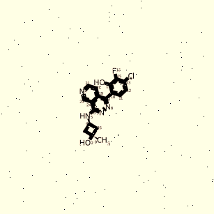 C[C@]1(O)C[C@@H](Nc2nnc(-c3ccc(Cl)c(F)c3O)c3ccncc23)C1